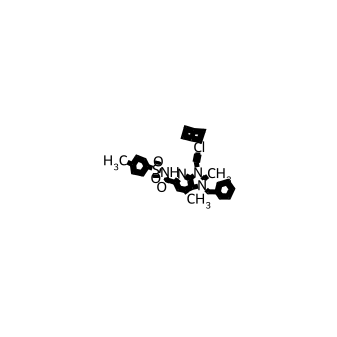 Cc1ccc(S(=O)(=O)NC(=O)c2cc(C)c3c(n2)N(C#CCl)C(C)N3Cc2ccccc2)cc1.c1cc2ccc1-2